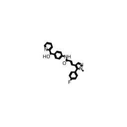 Cn1ncc(/C=C/C(=O)Nc2ccc(C(O)c3ccccn3)cc2)c1-c1ccc(F)cc1